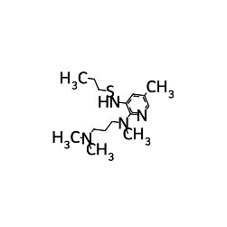 CCCSNc1cc(C)cnc1N(C)CCCN(C)C